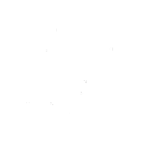 O=C(c1cc(-c2cccc(C(F)(F)F)c2)n(-c2cccc(Cl)c2)n1)N1CCOCC1